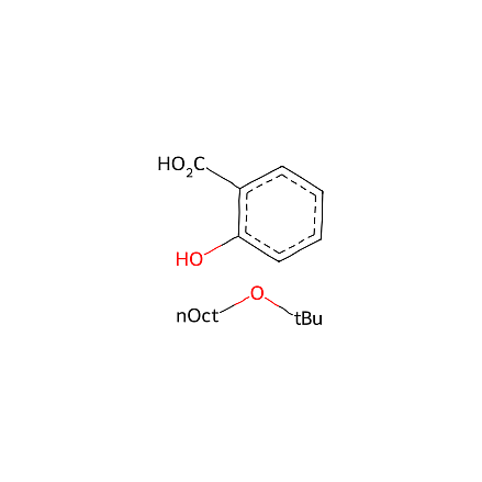 CCCCCCCCOC(C)(C)C.O=C(O)c1ccccc1O